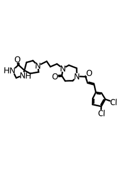 O=C(C=Cc1ccc(Cl)c(Cl)c1)N1CCC(=O)N(CCCN2CCC3(CC2)NCNC3=O)CC1